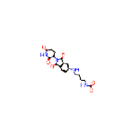 O=C(O)NCCCCNc1ccc2c(c1)C(=O)N(C1CCC(=O)NC1=O)C2=O